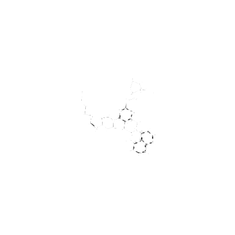 COCCN/C=N\C1CCN(c2nc(OC[C@@H]3CCCN3C)nc3c2CCN(c2cccc4cccc(C)c24)C3)CC1